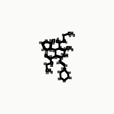 CCOC(=O)C1=C(C)NC(N=CN2CCCCC2)=C(C(=O)OCC)C1c1ccccc1Cl